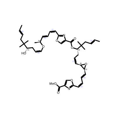 C/C=C/CC(C)(C)[C@H](C/C=C\[C@H]1O[C@H]1/C=C/C=C\c1nc(C(=O)OC)co1)OC(=O)c1coc(/C=C\C=C\[C@H](C)O/C=C\C[C@H](O)C(C)(C)C/C=C/C)n1